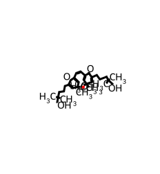 CC1(C)C=C(/C=C\C2=CC(C)(C)C=C(CCCC(C)(C)CO)C2=O)C(=O)C(CCCC(C)(C)CO)=C1